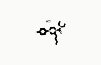 CCCCC1CN(c2ccc(F)cc2)CCN1C(=O)N(CC)CC.Cl